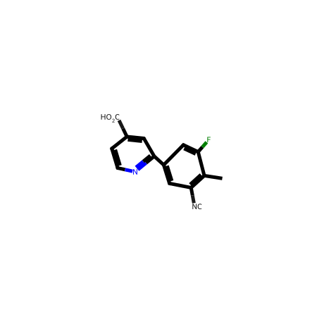 [C-]#[N+]c1cc(-c2cc(C(=O)O)ccn2)cc(F)c1C